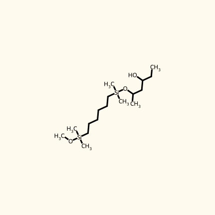 CCC(O)CC(C)O[Si](C)(C)CCCCCC[Si](C)(C)OC